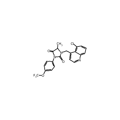 CC1C(=O)N(c2ccc(OC(F)(F)F)cc2)C(=O)N1Cc1ccnc2cccc(Cl)c12